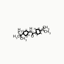 CN(C)c1ccc(C(=O)Nc2ccc(C(C)(C)C)cc2)cc1